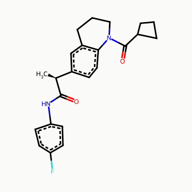 C[C@H](C(=O)Nc1ccc(F)cc1)c1ccc2c(c1)CCCN2C(=O)C1CCC1